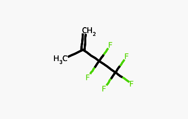 C=C(C)C(F)(F)C(F)(F)F